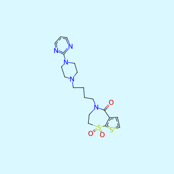 O=C1c2ccsc2S(=O)(=O)CCN1CCCCN1CCN(c2ncccn2)CC1